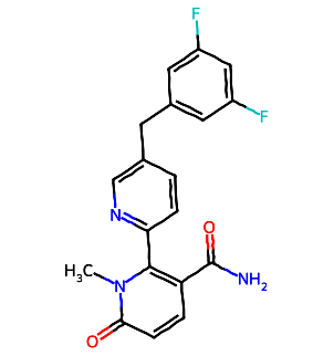 Cn1c(-c2ccc(Cc3cc(F)cc(F)c3)cn2)c(C(N)=O)ccc1=O